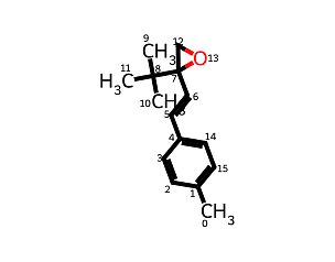 Cc1ccc(C=CC2(C(C)(C)C)CO2)cc1